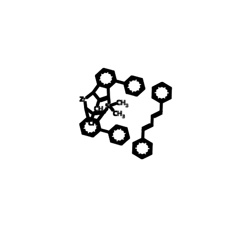 C(C=Cc1ccccc1)=Cc1ccccc1.CC1=C2c3c(-c4ccccc4)cccc3[CH]1[Zr][CH]1C(C)=C(c3c(-c4ccccc4)cccc31)[Si]2(C)C